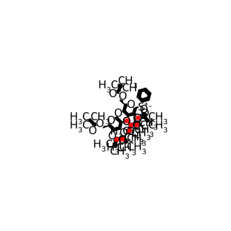 CC(C)(C)C(=O)OC[C@H]1O[C@@H]([S+]([O-])c2ccccc2)[C@H](OC(=O)C(C)(C)C)[C@@H](OC(=O)C(C)(C)C)[C@@H]1O[C@@H]1O[C@H](COC(=O)C(C)(C)C)[C@@H](OC(=O)C(C)(C)C)[C@H](OC(=O)C(C)(C)C)[C@H]1OC(=O)C(C)(C)C